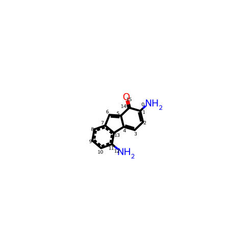 NC1=CC=C2C(=Cc3cccc(N)c32)C1=O